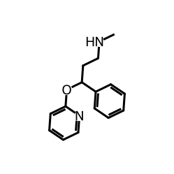 CNCCC(Oc1ccccn1)c1ccccc1